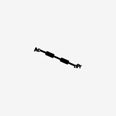 CCCC#CC#CC(C)=O